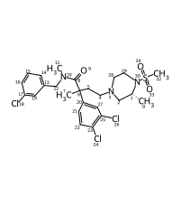 C[C@@H]1CN(CCC(C)(C(=O)N(C)Cc2cccc(Cl)c2)c2ccc(Cl)c(Cl)c2)CCN1S(C)(=O)=O